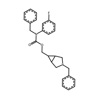 O=C(OCC1C2CN(Cc3ccccc3)CC12)N(Cc1ccccc1)c1cccc(F)c1